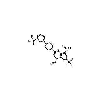 O=CC1N=C(N2CCN(c3cccc(C(F)(F)F)c3)CC2)Sc2c1cc(C(F)(F)F)cc2[N+](=O)[O-]